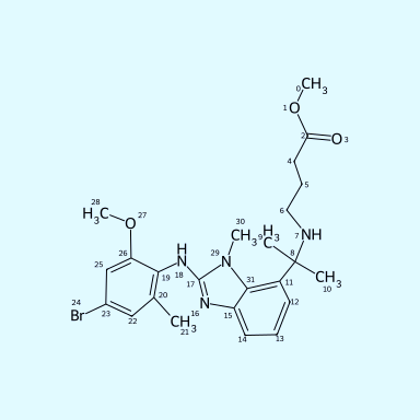 COC(=O)CCCNC(C)(C)c1cccc2nc(Nc3c(C)cc(Br)cc3OC)n(C)c12